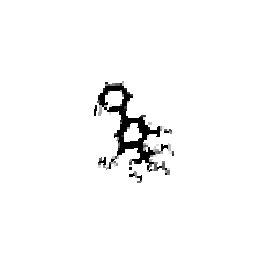 Cc1cc(C2CCCCN2)cc(F)c1C(C)(C)C